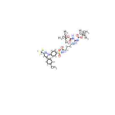 Cc1ccc(-c2cc(C(F)(F)F)nn2-c2ccc(S(=O)(=O)NC(=O)CCCCN/C(=N/C(=O)OC(C)(C)C)NC(=O)OC(C)(C)C)cc2)cc1